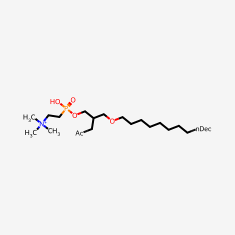 CCCCCCCCCCCCCCCCCCOCC(COP(=O)(O)CC[N+](C)(C)C)CC(C)=O